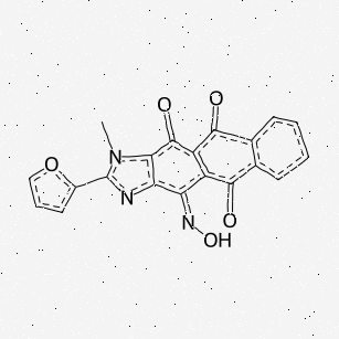 Cn1c(-c2ccco2)nc2/c(=N/O)c3c(=O)c4ccccc4c(=O)c=3c(=O)c21